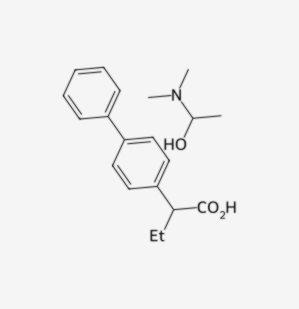 CC(O)N(C)C.CCC(C(=O)O)c1ccc(-c2ccccc2)cc1